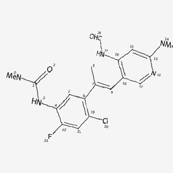 CNC(=O)Nc1cc(/C(C)=C/c2cnc(NC)cc2NC=O)c(Cl)cc1F